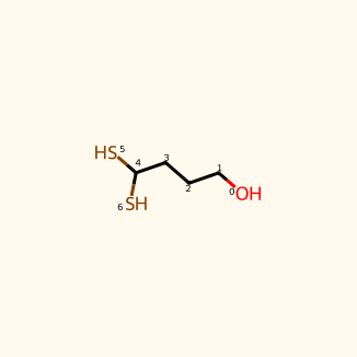 OCCCC(S)S